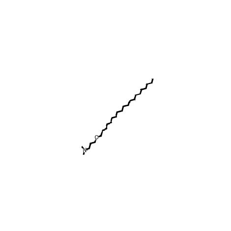 CCCCCCCCCCCCCCCCCCCCOCCCN(C)C